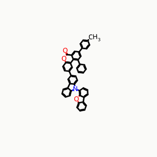 Cc1ccc(-c2cc(-c3ccccc3)c3c(c2)c(=O)oc2ccc(-c4ccc5c(c4)c4ccccc4n5-c4cccc5c4oc4ccccc45)cc23)cc1